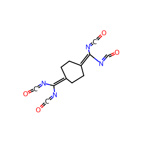 O=C=NC(N=C=O)=C1CCC(=C(N=C=O)N=C=O)CC1